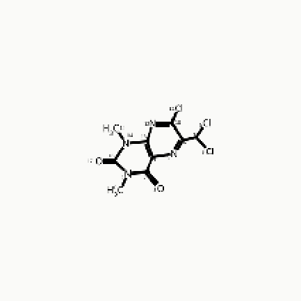 Cn1c(=O)c2nc(C(Cl)Cl)c(Cl)nc2n(C)c1=O